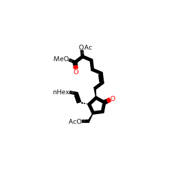 CCCCCC/C=C/[C@H]1[C@H](COC(C)=O)CC(=O)[C@@H]1C/C=C\CCC(OC(C)=O)C(=O)OC